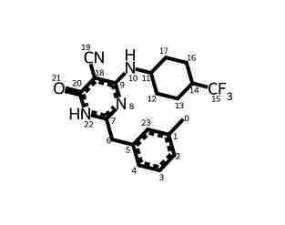 Cc1cccc(Cc2nc(NC3CCC(C(F)(F)F)CC3)c(C#N)c(=O)[nH]2)c1